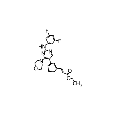 CCOC(=O)/C=C/c1cccc(-c2cnc(Nc3cc(F)cc(F)c3)nc2N2CCOCC2)c1